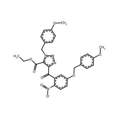 CCOC(=O)c1c(C(=O)c2cc(OCc3ccc(OC)cc3)ccc2[N+](=O)[O-])nnn1Cc1ccc(OC)cc1